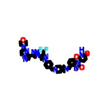 Cn1c(=O)n(C2CCC(=O)NC2=O)c2cccc(CN3CC4(CCN(CC5CCC(n6cc(-n7cc(-c8cnn9ccc(N%10CCOCC%10)nc89)nn7)c(C(F)F)n6)CC5)CC4)C3)c21